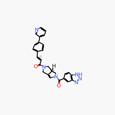 O=C(c1ccc2[nH]nnc2c1)N1C=C2CN(C(=O)/C=C/c3ccc(-c4cccnc4)cc3)C[C@@H]2C1